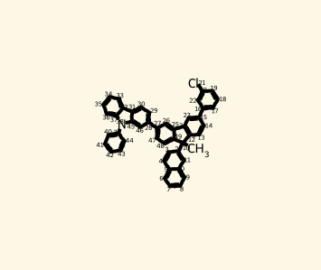 CC1(c2ccc3ccccc3c2)c2ccc(-c3cccc(Cl)c3)cc2-c2cc(-c3ccc4c5ccccc5n(-c5ccccc5)c4c3)ccc21